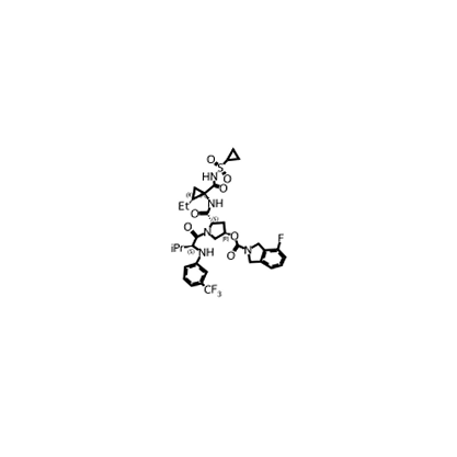 CC[C@@H]1C[C@]1(NC(=O)[C@@H]1C[C@@H](OC(=O)N2Cc3cccc(F)c3C2)CN1C(=O)[C@@H](Nc1cccc(C(F)(F)F)c1)C(C)C)C(=O)NS(=O)(=O)C1CC1